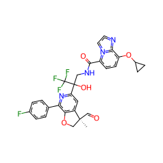 C[C@]1(C=O)COc2c1cc(C(O)(CNC(=O)c1ccc(OC3CC3)c3nccn13)C(F)(F)F)nc2-c1ccc(F)cc1